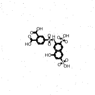 O=C(O)c1ccc(S(=O)(=O)Nc2cc3c(O)cc(S(=O)(=O)O)cc3cc2S(=O)(=O)O)cc1C(=O)O